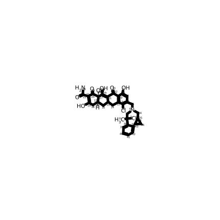 CC(C)(CN(Cc1cc(O)c2c(c1Cl)CC1C[C@H]3CC(O)=C(C(N)=O)C(=O)[C@@]3(O)C(O)=C1C2=O)CC1CC1)c1ccccc1